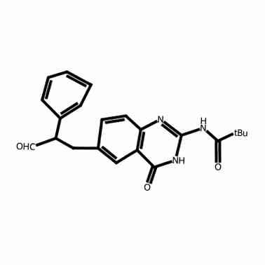 CC(C)(C)C(=O)Nc1nc2ccc(CC(C=O)c3ccccc3)cc2c(=O)[nH]1